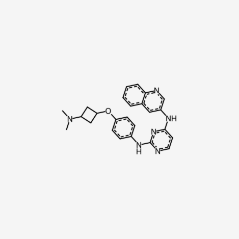 CN(C)C1CC(Oc2ccc(Nc3nccc(Nc4cnc5ccccc5c4)n3)cc2)C1